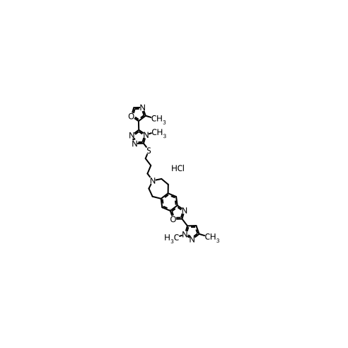 Cc1cc(-c2nc3cc4c(cc3o2)CCN(CCCSc2nnc(-c3ocnc3C)n2C)CC4)n(C)n1.Cl